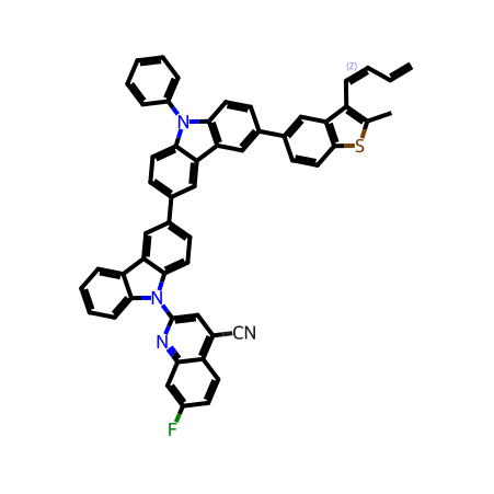 C=C/C=C\c1c(C)sc2ccc(-c3ccc4c(c3)c3cc(-c5ccc6c(c5)c5ccccc5n6-c5cc(C#N)c6ccc(F)cc6n5)ccc3n4-c3ccccc3)cc12